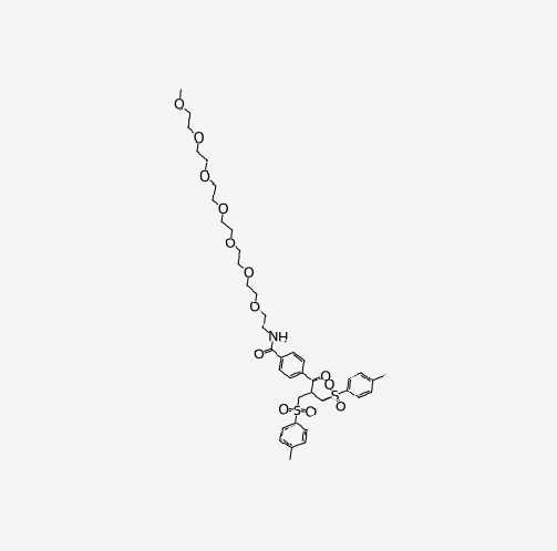 COCCOCCOCCOCCOCCOCCOCCNC(=O)c1ccc(C(=O)C(CS(=O)(=O)c2ccc(C)cc2)CS(=O)(=O)c2ccc(C)cc2)cc1